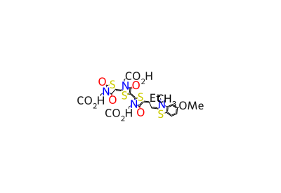 CC/C(C=C1Sc2ccc(OC)cc2N1C)=c1\s/c(=c2/s/c(=C3/SC(=O)N(CC(=O)O)C3=O)n(CC(=O)O)c2=O)n(CC(=O)O)c1=O